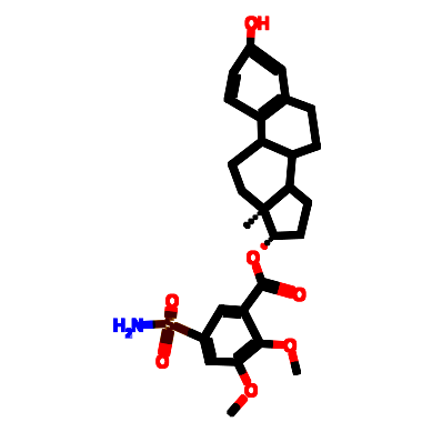 COc1cc(S(N)(=O)=O)cc(C(=O)O[C@H]2CCC3C4CCc5cc(O)ccc5C4CC[C@@]32C)c1OC